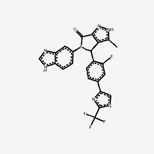 Cc1[nH]nc2c1C(c1ccc(-c3csc(C(F)(F)F)n3)cc1F)N(c1ccc3[nH]cnc3c1)C2=O